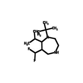 CC(C)C1C(C(F)F)CNCCN1C(C)(C)C